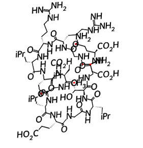 CC(C)C[C@H](NC(=O)CNC(=O)[C@H](CCC(=O)O)NC(=O)[C@H](CC(C)C)NC(=O)[C@H](CC(C)C)NC(=O)[C@H](CC(=O)O)NC(=O)[C@H](CC(C)C)NC(=O)[C@H](CC(C)C)NC(=O)[C@H](CCCNC(=N)N)NC(=O)[C@H](CCCNC(=N)N)NC(=O)CNC(=O)[C@@H](N)CC(=O)O)C(=O)N[C@H](C(=O)NCC(=O)N[C@@H](CCC(N)=O)C(=O)O)[C@@H](C)O